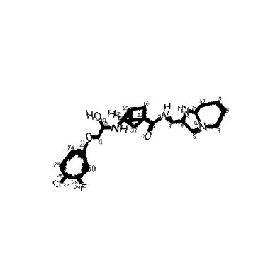 O=C(NCC1CN2CCCCC2N1)C12CC(C1)[C@H](NC(O)COc1ccc(Cl)c(F)c1)C2